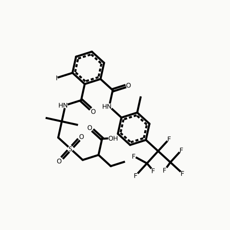 CCC(CS(=O)(=O)CC(C)(C)NC(=O)c1c(I)cccc1C(=O)Nc1ccc(C(F)(C(F)(F)F)C(F)(F)F)cc1C)C(=O)O